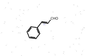 O=C/C=C/c1c[c]ccc1